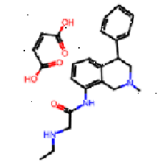 CCNCC(=O)Nc1cccc2c1CN(C)CC2c1ccccc1.O=C(O)/C=C\C(=O)O